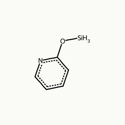 [SiH3]Oc1ccccn1